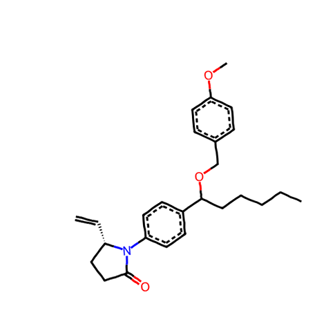 C=C[C@H]1CCC(=O)N1c1ccc(C(CCCCC)OCc2ccc(OC)cc2)cc1